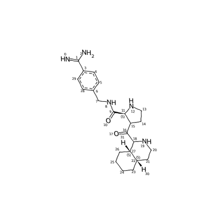 N=C(N)c1ccc(CNC(=O)[C@H]2NCCC2C(=O)C2NCC[C@@H]3CCCC[C@H]23)cc1